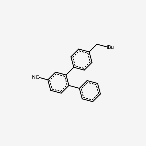 CCC(C)Cc1ccc(-c2cc(C#N)ccc2-c2ccccc2)cc1